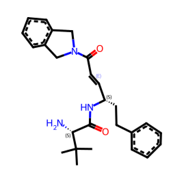 CC(C)(C)[C@H](N)C(=O)N[C@H](/C=C/C(=O)N1Cc2ccccc2C1)CCc1ccccc1